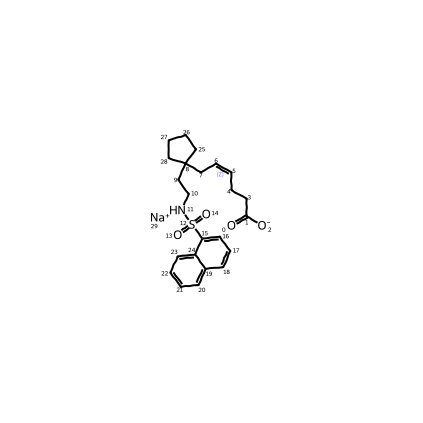 O=C([O-])CC/C=C\CC1(CCNS(=O)(=O)c2cccc3ccccc23)CCCC1.[Na+]